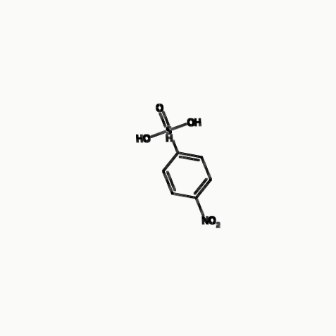 O=[N+]([O-])c1ccc([SH](=O)(O)O)cc1